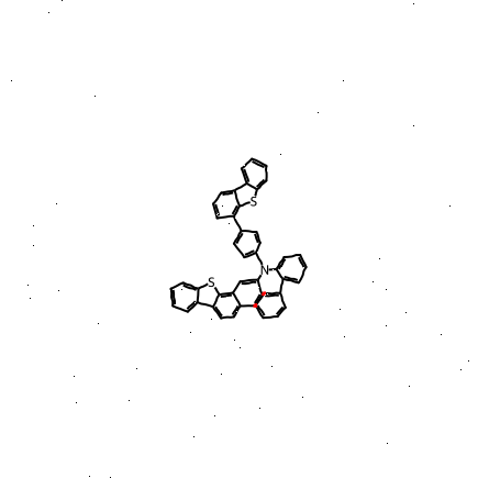 c1ccc(-c2ccccc2N(c2ccc(-c3cccc4c3sc3ccccc34)cc2)c2ccc3ccc4c5ccccc5sc4c3c2)cc1